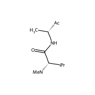 CN[C@H](C(=O)N[C@H](C)C(C)=O)C(C)C